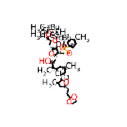 C=C([C@H](C)C[C@@H](C)CC[C@@H]1O[C@@H](CCC2OCCO2)CC1=C)[C@H](O)C[C@@H]1O[C@H](CC(CO[Si](C)(C)C(C)(C)C)O[Si](C)(C)C(C)(C)C)[C@H](OC)[C@H]1CS(=O)(=O)c1ccc(C)cc1